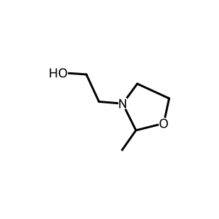 CC1OCCN1CCO